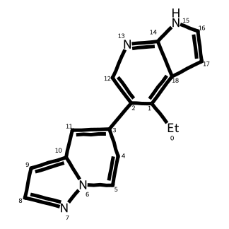 CCc1c(-c2ccn3nccc3c2)cnc2[nH]ccc12